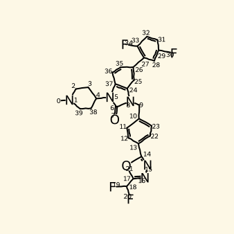 CN1CCC(n2c(=O)n(Cc3ccc(-c4nnc(C(F)F)o4)cc3)c3cc(-c4cc(F)ccc4F)ccc32)CC1